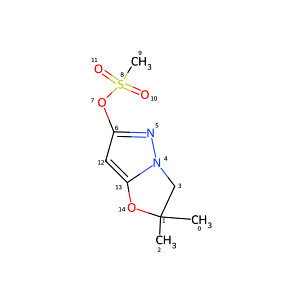 CC1(C)Cn2nc(OS(C)(=O)=O)cc2O1